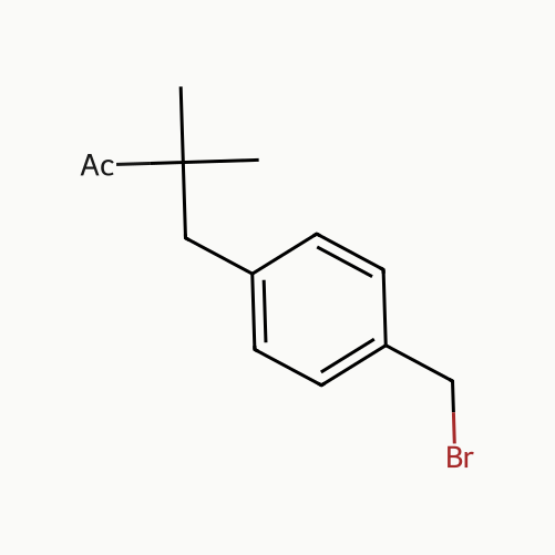 CC(=O)C(C)(C)Cc1ccc(CBr)cc1